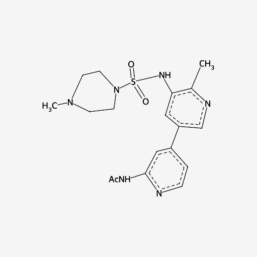 CC(=O)Nc1cc(-c2cnc(C)c(NS(=O)(=O)N3CCN(C)CC3)c2)ccn1